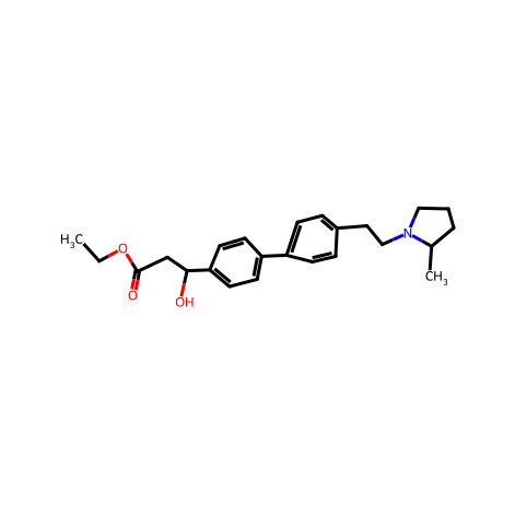 CCOC(=O)CC(O)c1ccc(-c2ccc(CCN3CCCC3C)cc2)cc1